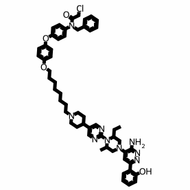 CCC1CN(c2cc(-c3ccccc3O)nnc2N)CC(C)N1c1ncc(C2CCN(CCCCCCCCOc3ccc(Oc4ccc(N(Cc5ccccc5)C(=O)CCl)cc4)cc3)CC2)cn1